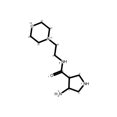 NC1CNCC1C(=O)NCCN1CCOCC1